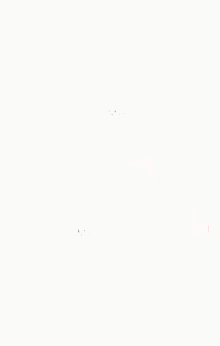 COc1c(C)cc(OC)c2oc(CO)cc12